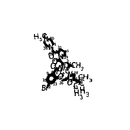 CC(C)C[C@@H](NC(=O)c1ccc(Br)cc1OCc1ncc(C(C)(C)C)o1)C(=O)N1CCC[C@@H]1C(=O)N1CCN(C)CC1